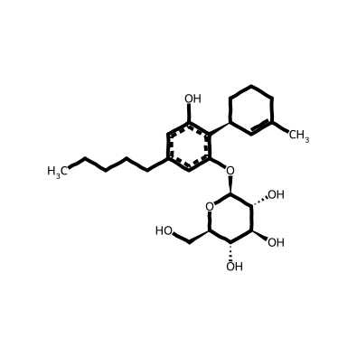 CCCCCc1cc(O)c([C@@H]2C=C(C)CCC2)c(O[C@@H]2O[C@H](CO)[C@@H](O)[C@H](O)[C@H]2O)c1